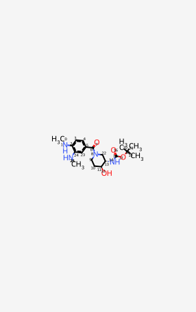 CNc1ccc(C(=O)N2CC[C@H](O)[C@@H](NC(=O)OC(C)(C)C)C2)cc1NC